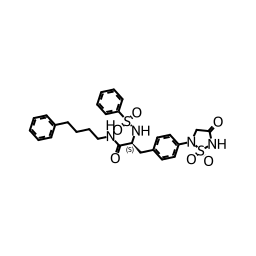 O=C1CN(c2ccc(C[C@H](NS(=O)(=O)c3ccccc3)C(=O)NCCCCc3ccccc3)cc2)S(=O)(=O)N1